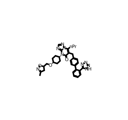 CCCc1c(Cc2ccc(-c3ccccc3-c3nnn[nH]3)cc2)c(=O)n([C@H]2CC[C@H](OCC3CC(C)=NO3)CC2)c2ncnn12